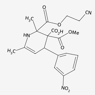 COC(=O)C1(C(=O)O)C(c2cccc([N+](=O)[O-])c2)C=C(C)NC1(C)C(=O)OCCC#N